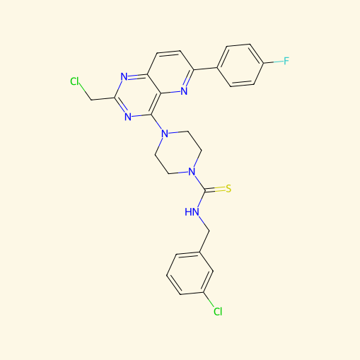 Fc1ccc(-c2ccc3nc(CCl)nc(N4CCN(C(=S)NCc5cccc(Cl)c5)CC4)c3n2)cc1